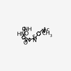 CC(=O)N(C)Cc1ccc(-c2cnc(C3CN(C(=O)c4ccc(NC(=O)[C@@H]5CCCN5)s4)C3)s2)cc1